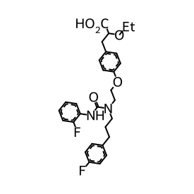 CCOC(Cc1ccc(OCCN(CCCc2ccc(F)cc2)C(=O)Nc2ccccc2F)cc1)C(=O)O